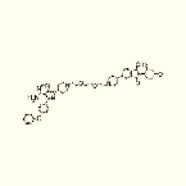 Nc1ncnc2c1c(-c1ccc(Oc3ccccc3)cc1)nn2C1CCN(CCOCCOCCN2CCC(c3ccc4c(c3)C(=O)N(C3CCC(=O)CC3=O)C4=O)CC2)CC1